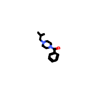 CC(C)CN1CCN(C(=O)c2ccccc2)CC1